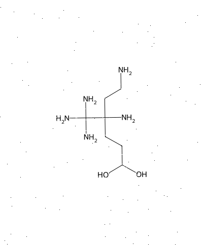 NCCC(N)(CCC(O)O)C(N)(N)N